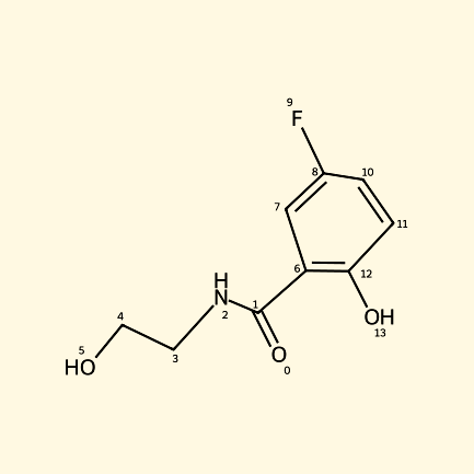 O=C(NCCO)c1cc(F)ccc1O